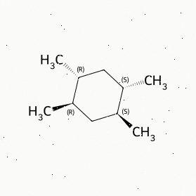 C[C@@H]1C[C@H](C)[C@@H](C)C[C@H]1C